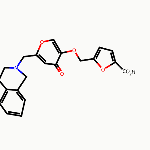 O=C(O)c1ccc(COc2coc(CN3CCc4ccccc4C3)cc2=O)o1